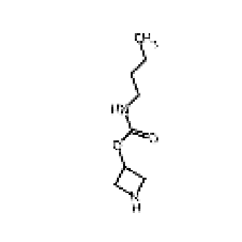 CCCCNC(=O)OC1CNC1